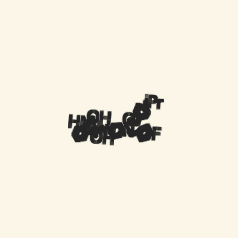 CC(C)c1ccc(CC(=O)N(Cc2ccc(F)cc2)C2CCN(CCN3C(O)Nc4ccccc4C3O)CC2)cc1